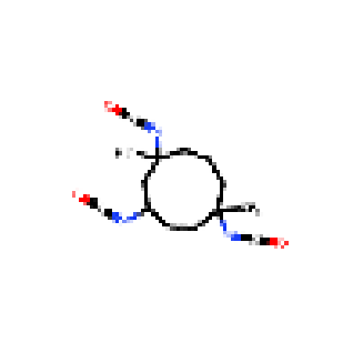 CC1(N=C=O)CCCC(C)(N=C=O)CC(N=C=O)CC1